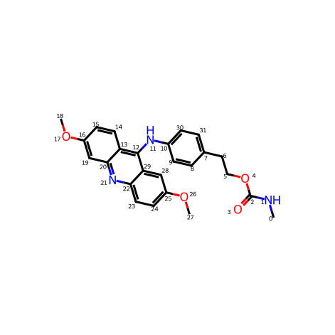 CNC(=O)OCCc1ccc(Nc2c3ccc(OC)cc3nc3ccc(OC)cc23)cc1